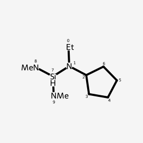 CCN(C1CCCC1)[SiH](NC)NC